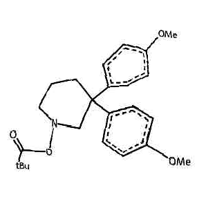 COc1ccc(C2(c3ccc(OC)cc3)CCCN(OC(=O)C(C)(C)C)C2)cc1